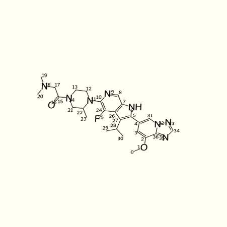 COc1cc(-c2[nH]c3cnc(N4CCN(C(=O)CN(C)C)CC4C)c(F)c3c2C(C)C)cn2ncnc12